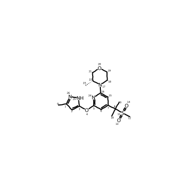 Cc1cc(Oc2cc(C(C)(C)S(C)(=O)=O)cc(N3CCOC[C@H]3C)n2)[nH]n1